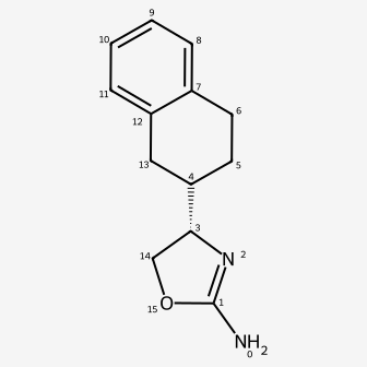 NC1=N[C@@H](C2CCc3ccccc3C2)CO1